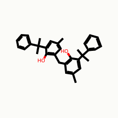 Cc1cc(Cc2cc(C)cc(C(C)(C)c3ccccc3)c2O)c(O)c(C(C)(C)c2ccccc2)c1